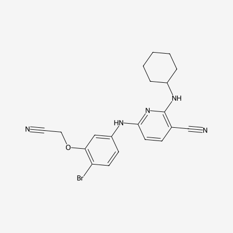 N#CCOc1cc(Nc2ccc(C#N)c(NC3CCCCC3)n2)ccc1Br